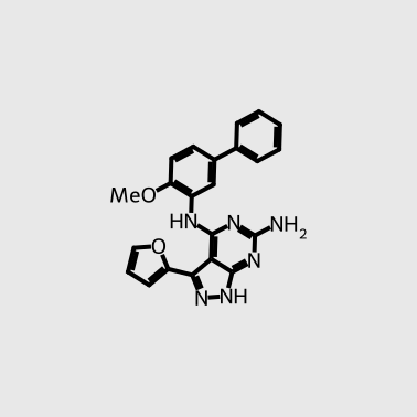 COc1ccc(-c2ccccc2)cc1Nc1nc(N)nc2[nH]nc(-c3ccco3)c12